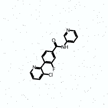 O=C(Nc1cccnc1)c1ccc(-c2ncccc2Cl)c(F)c1